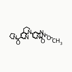 CCOCn1nc2cc(N3CCCc4cc(C(=O)N5CCCC5)cnc43)ccn2c1=O